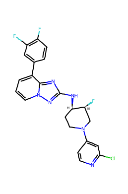 Fc1ccc(-c2cccn3nc(N[C@@H]4CCN(c5ccnc(Cl)c5)C[C@@H]4F)nc23)cc1F